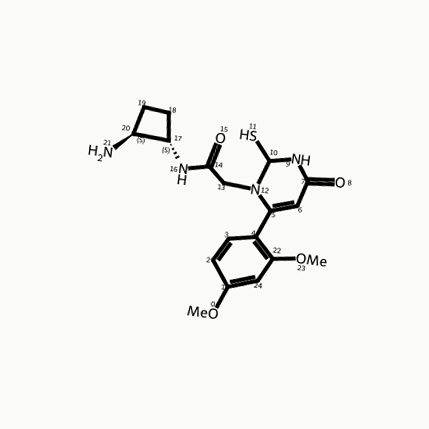 COc1ccc(C2=CC(=O)NC(S)N2CC(=O)N[C@H]2CC[C@@H]2N)c(OC)c1